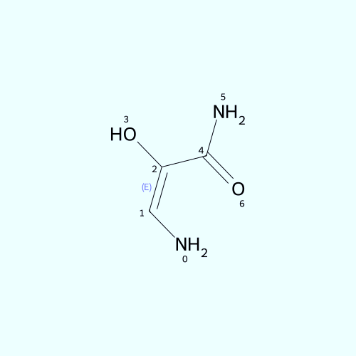 N/C=C(/O)C(N)=O